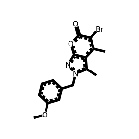 COc1cccc(Cn2nc3oc(=O)c(Br)c(C)c3c2C)c1